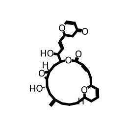 C=C1CCC[C@@H]2CC=CC(C/C=C\C(=O)OC(C(O)/C=C/C3CC(=O)C=CO3)C[C@@H]3OC3[C@@H](O)C1)O2